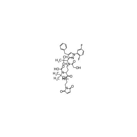 CC(C)(C)C(c1nn(-c2cc(F)ccc2F)cc1Cc1ccccc1)N(CCC(C(=O)NCCN1C(=O)C=CC1=O)N(C(=O)O)C(C)(C)C)C(=O)CO